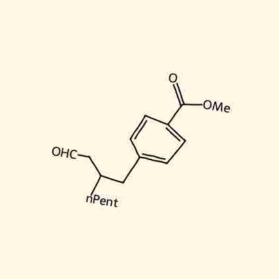 CCCCCC(CC=O)Cc1ccc(C(=O)OC)cc1